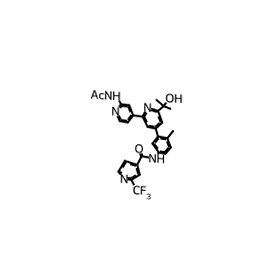 CC(=O)Nc1cc(-c2cc(-c3cc(NC(=O)c4ccnc(C(F)(F)F)c4)ccc3C)cc(C(C)(C)O)n2)ccn1